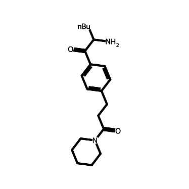 CCCCC(N)C(=O)c1ccc(CCC(=O)N2CCCCC2)cc1